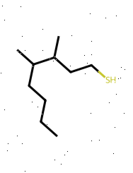 CCCCC(C)C(C)CCS